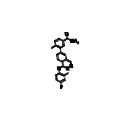 Cc1cc(F)ccc1Oc1nncc2cc(-c3cc(C(N)=O)ccc3C)ccc12